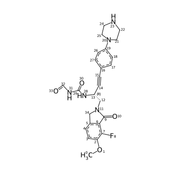 COc1ccc2c(c1F)C(=O)N(C[C@@H](C#Cc1ccc(N3CCNCC3)cc1)NC(=O)NC=O)C2